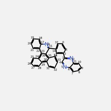 c1cc(-c2cnc3ccccc3n2)cc(-c2nc3ccccc3c3c4ccccc4c4ccccc4c23)c1